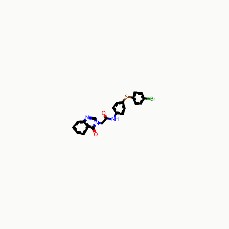 O=C(Cn1cnc2ccccc2c1=O)Nc1ccc(Sc2ccc(Br)cc2)cc1